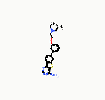 CCN(CC)CCOc1cccc(-c2ccc3c(c2)sc2c(N)ncnc23)c1